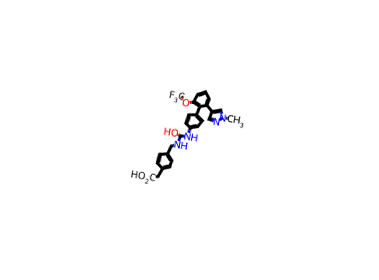 Cn1cc(-c2cccc(OC(F)(F)F)c2-c2ccc(NC(O)NCc3ccc(CC(=O)O)cc3)cc2)cn1